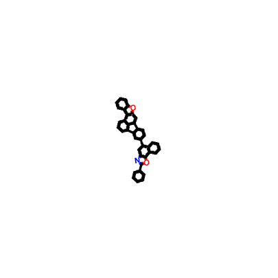 c1ccc(-c2nc3cc(-c4ccc5c(c4)-c4cccc6c4c-5cc4oc5ccccc5c46)c4ccccc4c3o2)cc1